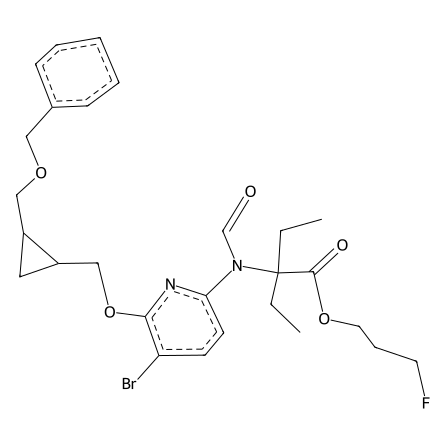 CCC(CC)(C(=O)OCCCF)N(C=O)c1ccc(Br)c(OCC2CC2COCc2ccccc2)n1